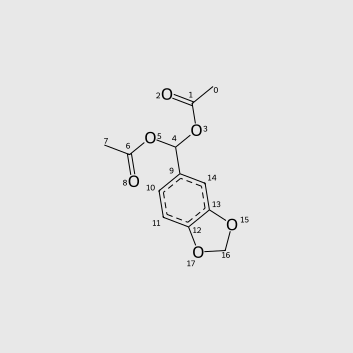 CC(=O)OC(OC(C)=O)c1ccc2c(c1)OCO2